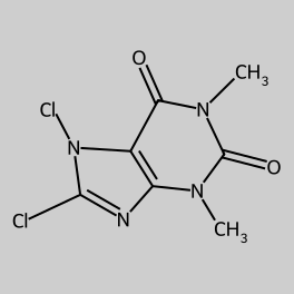 Cn1c(=O)c2c(nc(Cl)n2Cl)n(C)c1=O